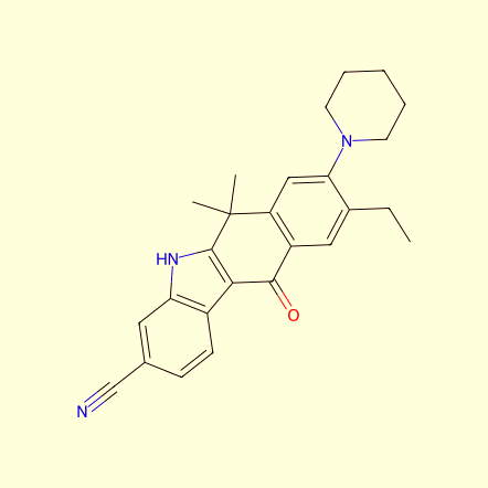 CCc1cc2c(cc1N1CCCCC1)C(C)(C)c1[nH]c3cc(C#N)ccc3c1C2=O